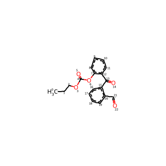 CCCOC(=O)Oc1ccccc1C(=O)c1ccccc1[C]=O